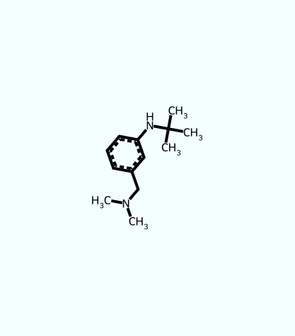 CN(C)Cc1cccc(NC(C)(C)C)c1